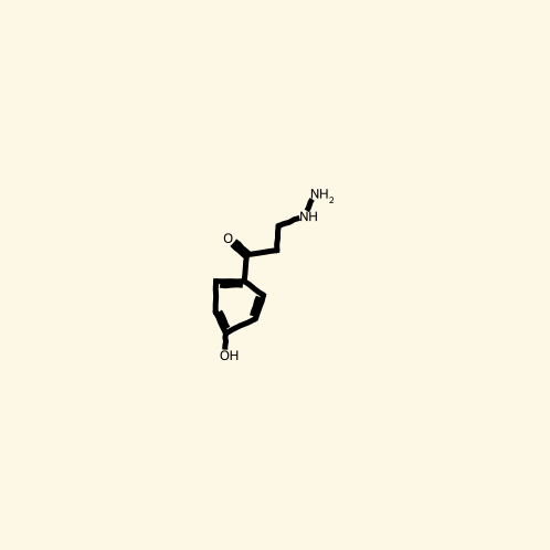 NNCCC(=O)c1ccc(O)cc1